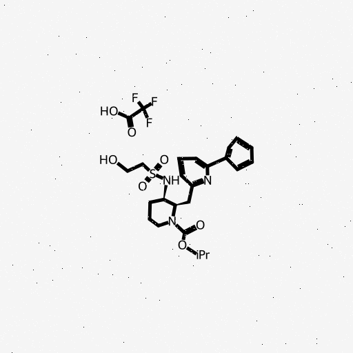 CC(C)OC(=O)N1CCC[C@@H](NS(=O)(=O)CCO)[C@H]1Cc1cccc(-c2ccccc2)n1.O=C(O)C(F)(F)F